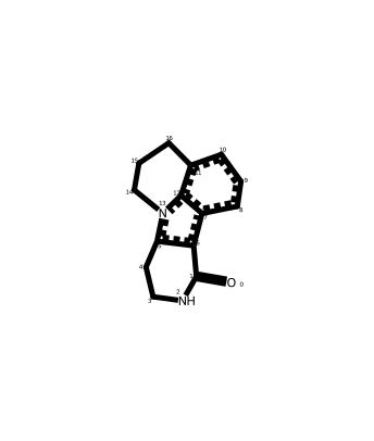 O=C1NCCc2c1c1cccc3c1n2CCC3